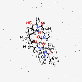 CCC(C)[C@@H](C(CC(=O)N1CCC[C@H]1[C@H](OC)[C@@H](C)C(=O)N[C@H](C)[C@@H](O)c1ccc(C(C)C)cc1)OC)N(C)C(=O)[C@@H](NC(=O)[C@H](C(C)C)N(C)C)C(C)C